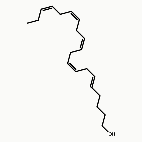 CC/C=C\C/C=C\C/C=C\C/C=C\C/C=C/CCCCO